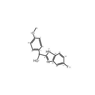 COc1ccc(C(O)c2nc3cc(F)ccc3[nH]2)cc1